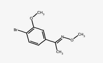 CON=C(C)c1ccc(Br)c(OC)c1